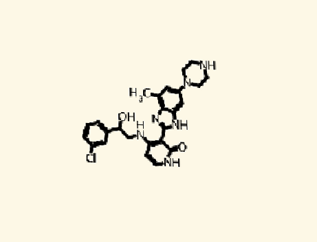 Cc1cc(N2CCNCC2)cc2[nH]c(-c3c(NCC(O)c4cccc(Cl)c4)cc[nH]c3=O)nc12